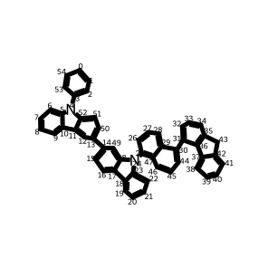 c1ccc(-n2c3ccccc3c3cc(-c4ccc5c6ccccc6n(-c6cccc7c(-c8cccc9c8-c8ccccc8C9)cccc67)c5c4)ccc32)cc1